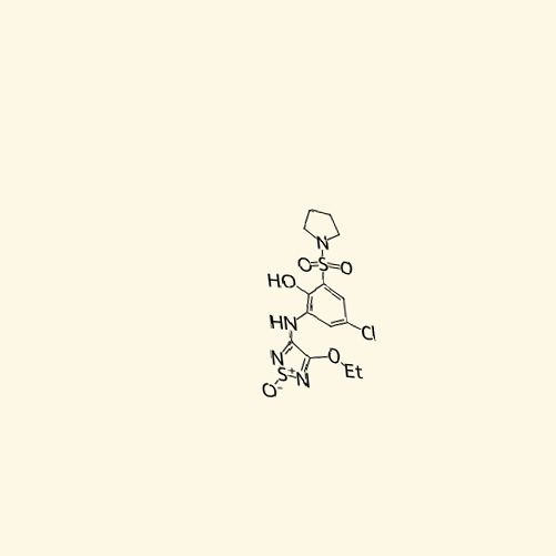 CCOc1n[s+]([O-])nc1Nc1cc(Cl)cc(S(=O)(=O)N2CCCC2)c1O